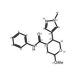 COC1CN(C(=O)Nc2ccccc2)C(c2cnn(C)c2)CO1